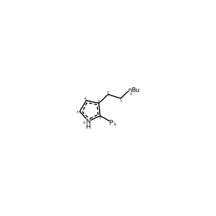 CCCCCCc1cc[nH]c1[P]